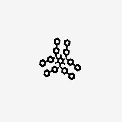 Cc1c(N(c2ccc(-c3ccccc3)cc2)c2ccc(-c3ccccc3)cc2)c(C)c(N(c2ccc(-c3ccccc3)cc2)c2ccc(-c3ccccc3)cc2)c(C)c1N(c1ccc(-c2ccccc2)cc1)c1ccc(-c2ccccc2)cc1